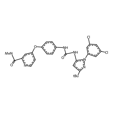 CNC(=O)c1cc(Oc2ccc(NC(=O)Nc3cc(C(C)(C)C)nn3-c3cc(Cl)cc(Cl)c3)cc2)ccn1